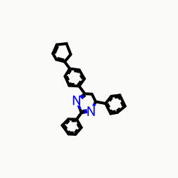 C1=CCCC(c2ccc(C3=NC(c4ccccc4)=NC(c4ccccc4)C3)cc2)=C1